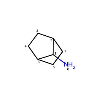 NC1C2CCC1CC2